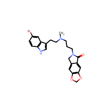 CN(CCCN1Cc2cc3c(cc2C1=O)OCO3)CCc1c[nH]c2ccc(Br)cc12